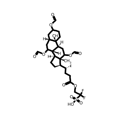 C[C@]12CCC(OC=O)C[C@H]1CC(OC=O)[C@@H]1[C@@H]2CC(OC=O)[C@]2(C)[C@@H]([C@H](I)CCC(=O)OCC(F)(F)S(=O)(=O)O)CC[C@@H]12